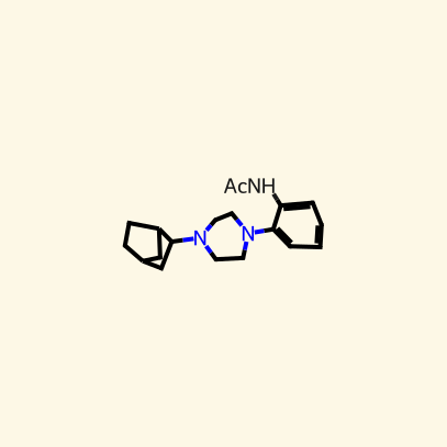 CC(=O)Nc1ccccc1N1CCN(C2CC3CCC2C3)CC1